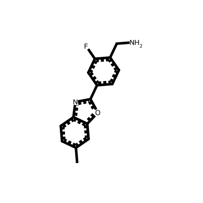 Cc1ccc2nc(-c3ccc(CN)c(F)c3)oc2c1